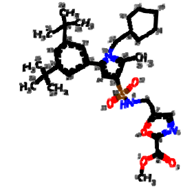 COC(=O)c1ncc(CNS(=O)(=O)c2cc(-c3cc(C(C)(C)C)cc(C(C)(C)C)c3)n(CC3CCCCC3)c2C)o1